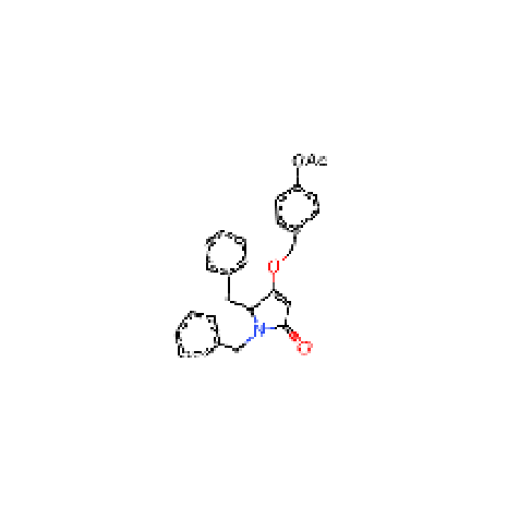 CC(=O)Oc1ccc(COC2=CC(=O)N(Cc3ccccc3)C2Cc2ccccc2)cc1